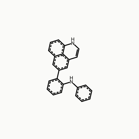 C1=Cc2cc(-c3ccccc3Nc3ccccc3)cc3cccc(c23)N1